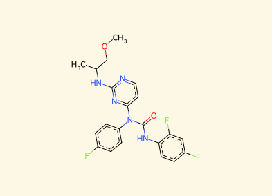 COCC(C)Nc1nccc(N(C(=O)Nc2ccc(F)cc2F)c2ccc(F)cc2)n1